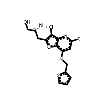 N[C@@H](CO)Cc1oc2c(NCc3cccs3)cc(Cl)nc2c1Cl